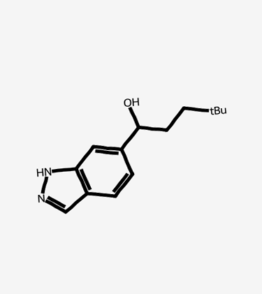 CC(C)(C)CCC(O)c1ccc2cn[nH]c2c1